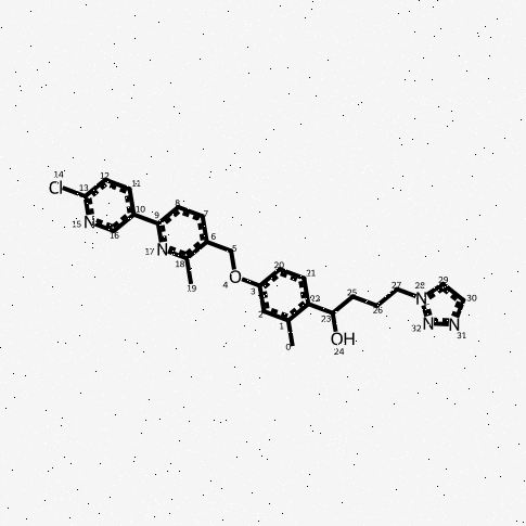 Cc1cc(OCc2ccc(-c3ccc(Cl)nc3)nc2C)ccc1C(O)CCCn1ccnn1